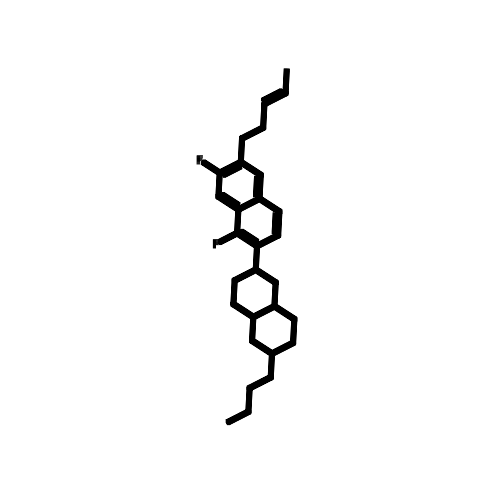 CC=CCCc1cc2ccc(C3CCC4CC(CCCC)CCC4C3)c(F)c2cc1F